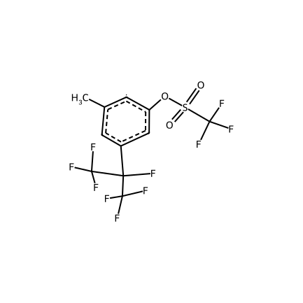 Cc1[c]c(OS(=O)(=O)C(F)(F)F)cc(C(F)(C(F)(F)F)C(F)(F)F)c1